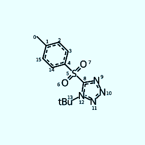 Cc1ccc(S(=O)(=O)c2nnnn2C(C)(C)C)cc1